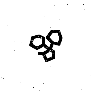 CC1CCCC1(C1CCCCC1)C1CCCCC1